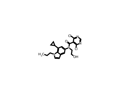 CCCn1ccc2cc(N(CCO)C(=O)c3c(Cl)ncnc3Cl)cc(C3CC3)c21